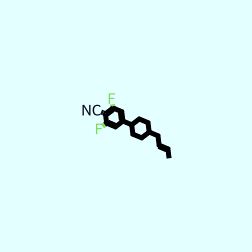 CC=CCC1CCC(c2cc(F)c(C#N)c(F)c2)CC1